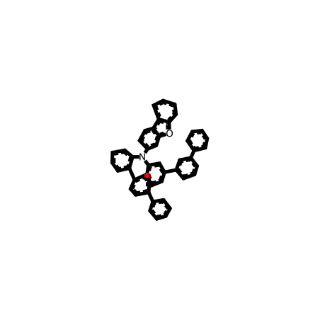 c1ccc(-c2ccc(-c3ccccc3N(c3cccc(-c4cccc(-c5ccccc5)c4)c3)c3ccc4c(c3)oc3ccccc34)cc2)cc1